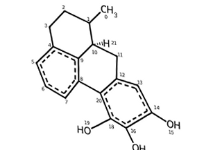 CC1CCc2cccc3c2[C@@H]1Cc1cc(O)c(O)c(O)c1-3